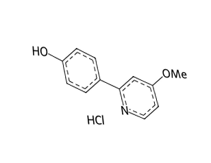 COc1ccnc(-c2ccc(O)cc2)c1.Cl